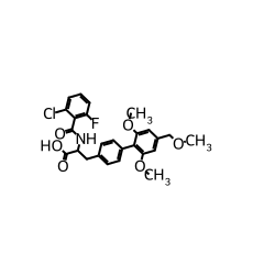 COCc1cc(OC)c(-c2ccc(CC(NC(=O)c3c(F)cccc3Cl)C(=O)O)cc2)c(OC)c1